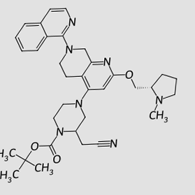 CN1CCC[C@H]1COc1cc(N2CCN(C(=O)OC(C)(C)C)C(CC#N)C2)c2c(n1)CN(c1nccc3ccccc13)CC2